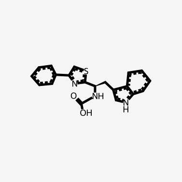 O=C(O)N[C@H](Cc1c[nH]c2ccccc12)c1nc(-c2ccccc2)cs1